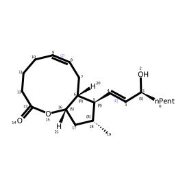 CCCCC[C@H](O)/C=C/[C@@H]1[C@H]2C/C=C\CCCC(=O)O[C@H]2C[C@H]1C